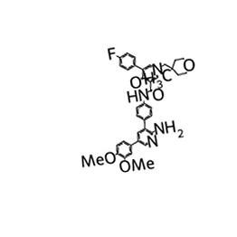 COc1ccc(-c2cnc(N)c(-c3ccc(NC(=O)c4cn(CC5(C)CCOCC5)cc(-c5ccc(F)cc5)c4=O)cc3)c2)cc1OC